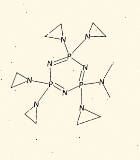 CN(C)P1(N2CC2)=NP(N2CC2)(N2CC2)=NP(N2CC2)(N2CC2)=N1